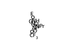 CC(C)N1CC(=O)N(Cc2ccc(C(F)(F)F)cc2)C2(CCN(C(=O)Nc3ccc(F)cc3)C2)C1=O